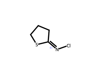 Cl/N=C1\CCCS1